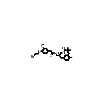 COc1cc(CC(=O)NCC(COC(=O)C(C)(C)C)Cc2ccc(C)c(C)c2)ccc1OCCBr